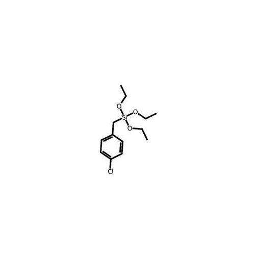 CCO[Si](Cc1ccc(Cl)cc1)(OCC)OCC